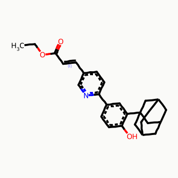 CCOC(=O)/C=C/c1ccc(-c2ccc(O)c(C34CC5CC(CC(C5)C3)C4)c2)nc1